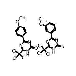 COc1ccc(-c2nc(C(Cl)(Cl)Cl)[nH]c(=O)n2)cc1.COc1cccc(-c2nc(C(Cl)(Cl)Cl)[nH]c(=O)n2)c1